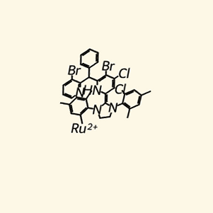 Cc1cc(C)c(N2CCN(c3c(C)cc(C)cc3C)C2=C2NC(C(c3ccccc3)c3ncccc3Br)=C(Br)C(Cl)=C2Cl)c(C)c1.[Ru+2]